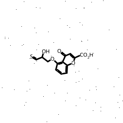 O=C(O)c1cc(=O)c2c(OCC(O)C=S)cccc2o1